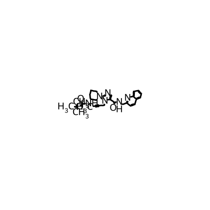 CC#CCn1c(C(=O)NCc2ccc3ccccc3n2)cnc1N1CCCC(NC(=O)OC(C)(C)C)C1